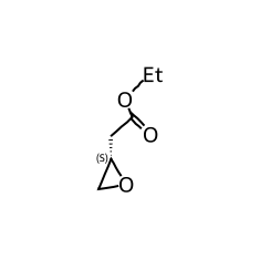 CCOC(=O)C[C@H]1CO1